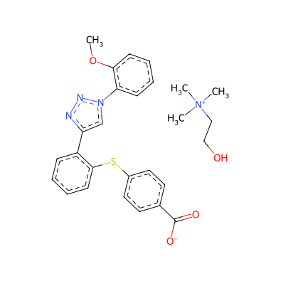 COc1ccccc1-n1cc(-c2ccccc2Sc2ccc(C(=O)[O-])cc2)nn1.C[N+](C)(C)CCO